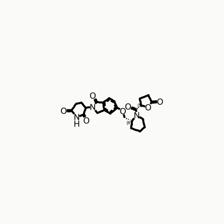 O=C1CCC(N2Cc3cc(OC[C@H]4CCCCN4C(=O)[C@@H]4CCC(=O)O4)ccc3C2=O)C(=O)N1